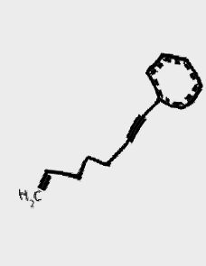 C=CCCCC#Cc1ccccc1